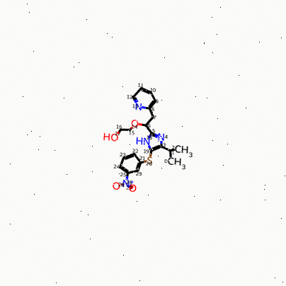 CC(C)c1nc(C(Cc2ccccn2)OCCO)[nH]c1Sc1cccc([N+](=O)[O-])c1